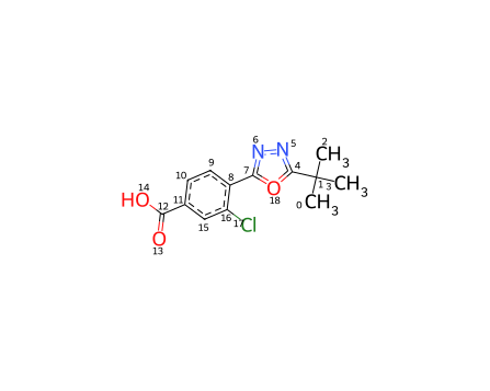 CC(C)(C)c1nnc(-c2ccc(C(=O)O)cc2Cl)o1